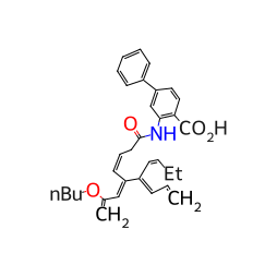 C=C/C=C(\C=C/CC)C(/C=C\CC(=O)Nc1cc(-c2ccccc2)ccc1C(=O)O)=C/C(=C)OCCCC